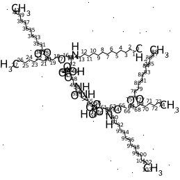 CCCCCCCCCCCCCCN[C@H](COCC[C@@H](CCCCCCC)OC(=O)CCCCCCCCCCC)COP(=O)(O)OCCNC(=O)NCCOP(=O)(O)OC[C@@H](COCC[C@@H](CCCCCCC)OC(=O)CCCCCCCCCCC)NCCCCCCCCCCCCCC